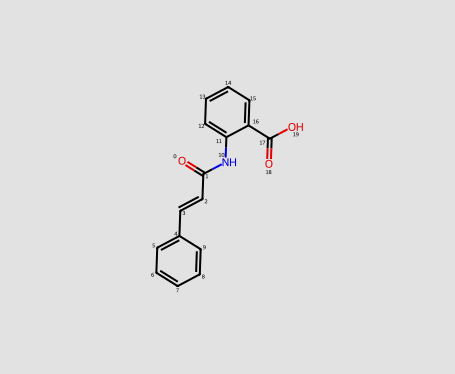 O=C(C=Cc1ccccc1)Nc1ccccc1C(=O)O